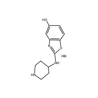 Br.Oc1ccc2oc(NC3CCNCC3)nc2c1